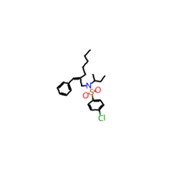 CCCCC/C(=C/c1ccccc1)CN(C(C)CC)S(=O)(=O)c1ccc(Cl)cc1